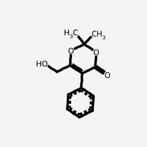 CC1(C)OC(=O)C(c2ccccc2)=C(CO)O1